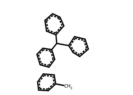 Cc1ccccc1.c1ccc(C(c2ccccc2)c2ccccc2)cc1